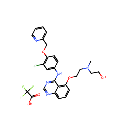 CN(CCO)CCOc1cccc2ncnc(Nc3ccc(OCc4ccccn4)c(Cl)c3)c12.O=C(O)C(F)(F)F